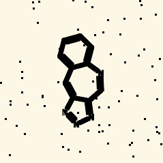 c1ccc2ncc3nnnc-3cc2c1